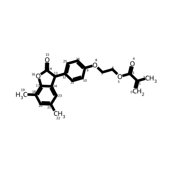 C=C(C)C(=O)OCCOc1ccc(C2C(=O)Oc3c(C)cc(C)cc32)cc1